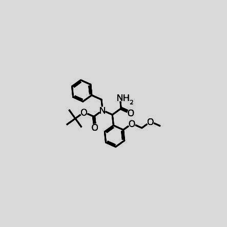 COCOc1ccccc1C(C(N)=O)N(Cc1ccccc1)C(=O)OC(C)(C)C